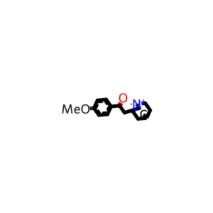 COc1ccc(C(=O)CC2CC3CC[N+]2CC3)cc1